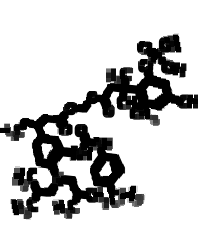 CCC(CC(=O)OCOC(=O)CC(C)(C)c1c(C)cc(C)cc1OP(=O)(O)O)c1ccc(N(CC(C)C)CC(C)C)c(NC(=O)Nc2ccc(C)cc2)c1